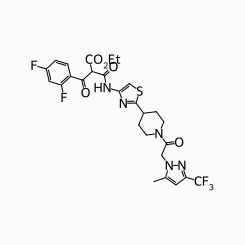 CCOC(=O)C(C(=O)Nc1csc(C2CCN(C(=O)Cn3nc(C(F)(F)F)cc3C)CC2)n1)C(=O)c1ccc(F)cc1F